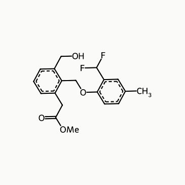 COC(=O)Cc1cccc(CO)c1COc1ccc(C)cc1C(F)F